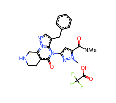 CNC(=O)c1cc(-n2c(=O)c3c(n4ncc(Cc5ccccc5)c24)CNCC3)nn1C.O=C(O)C(F)(F)F